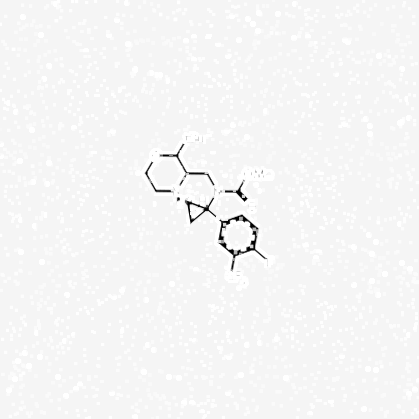 COC(=O)N(CC1C(C(C)(C)C)OCCN1C(=O)O)C1(c2ccc(F)c(C(F)(F)F)c2)CC1